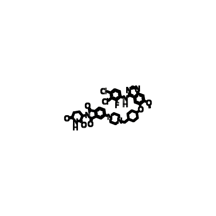 COc1cc2ncnc(Nc3ccc(Cl)c(Cl)c3F)c2cc1OC1CCC(CN2CCN(c3ccc4c(c3)C(=O)N(C3CCC(=O)NC3=O)C4=O)CC2)CC1